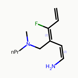 C=C/C(F)=C(\C=C/N)CN(C)CCC